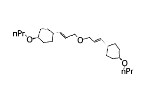 CCCO[C@H]1CC[C@H](C=CCOCC=C[C@H]2CC[C@H](OCCC)CC2)CC1